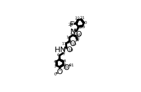 COc1ccc(CCNC(=O)CC(=O)Cc2nc(-c3ccccc3F)oc2C)cc1OC